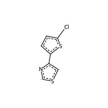 Clc1ccc(-c2cs[c]n2)s1